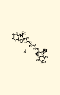 CCN1c2ccccc2OC1CC=CC=CC=Cc1oc2ccccc2[n+]1CC.[I-]